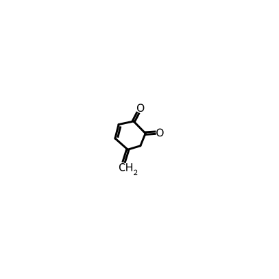 C=C1C=CC(=O)C(=O)C1